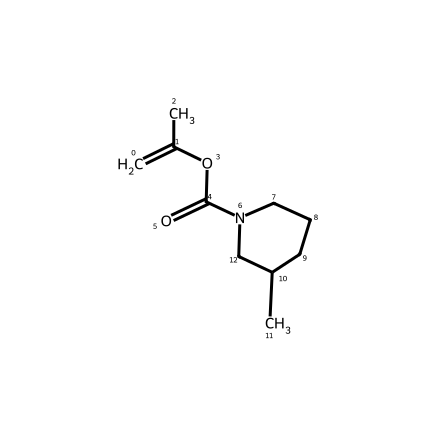 C=C(C)OC(=O)N1CCCC(C)C1